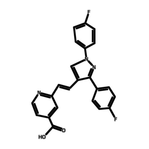 O=C(O)c1ccnc(C=Cc2cn(-c3ccc(F)cc3)nc2-c2ccc(F)cc2)c1